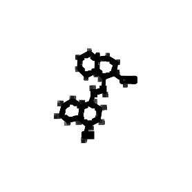 O=Cc1ccc2ccccc2c1N=Nc1ccc(O)c2ccccc12